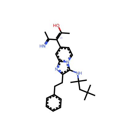 CC(=N)/C(=C(/C)O)c1ccn2c(NC(C)(C)CC(C)(C)C)c(CCc3ccccc3)nc2c1